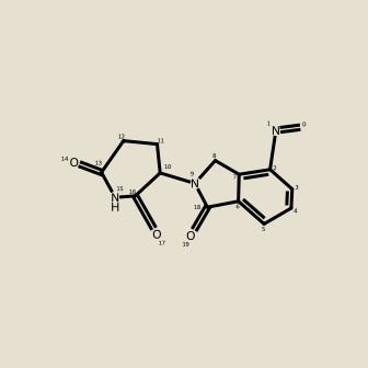 C=Nc1cccc2c1CN(C1CCC(=O)NC1=O)C2=O